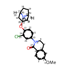 COc1ccc2c(c1)CCN(c1ccc(O[C@H]3C[C@H]4CC[C@@H](C3)N4C)c(Cl)c1)C2=O